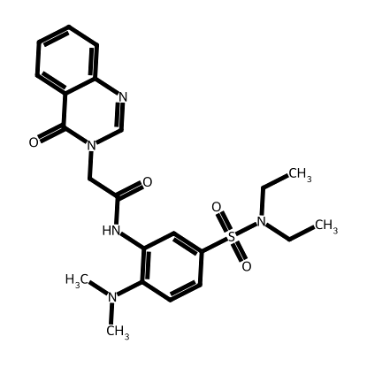 CCN(CC)S(=O)(=O)c1ccc(N(C)C)c(NC(=O)Cn2cnc3ccccc3c2=O)c1